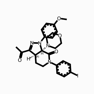 COc1ccc(N2N=C(C(C)=O)[C@@H]3CCN(c4ccc(I)cc4)C(=O)[C@@]32N2CCOCC2)cc1